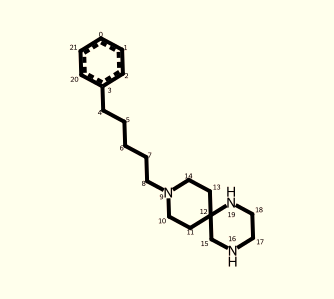 c1ccc(CCCCCN2CCC3(CC2)CNCCN3)cc1